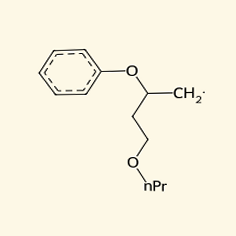 [CH2]C(CCOCCC)Oc1ccccc1